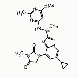 CNc1cc(N[C@H](C)c2cn3cc(C4CC4)cc(N4CC(=O)N(C)C4=O)c3n2)nc(C)n1